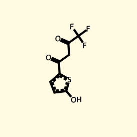 O=C(CC(=O)C(F)(F)F)c1ccc(O)s1